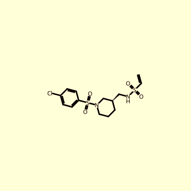 C=CS(=O)(=O)NC[C@H]1CCCN(S(=O)(=O)c2ccc(Cl)cc2)C1